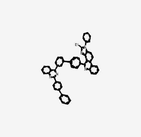 CCc1nc2c3c(-c4ccc(-c5cccc(-c6nc(-c7ccc(-c8ccccc8)cc7)nc7ccccc67)c5)cc4)nc4ccccc4c3ccc2n1-c1ccccc1